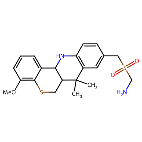 COc1cccc2c1SCC1C2Nc2ccc(CS(=O)(=O)CN)cc2C1(C)C